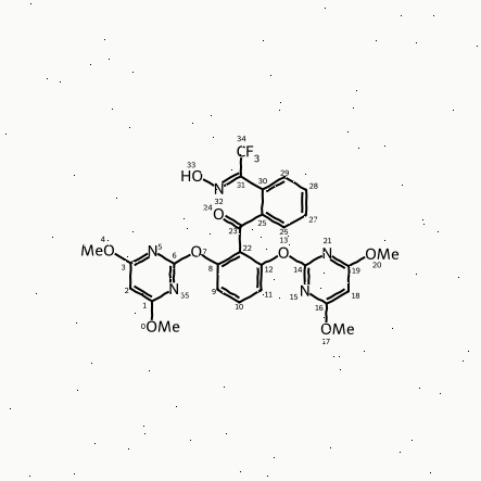 COc1cc(OC)nc(Oc2cccc(Oc3nc(OC)cc(OC)n3)c2C(=O)c2ccccc2C(=NO)C(F)(F)F)n1